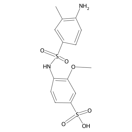 COc1cc(S(=O)(=O)O)ccc1NS(=O)(=O)c1ccc(N)c(C)c1